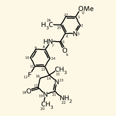 COc1cnc(C(=O)Nc2ccc(F)c(C3(C)CC(=O)N(C)C(N)=N3)c2)c(C)c1